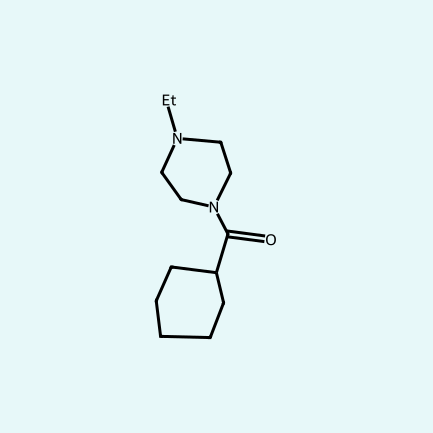 CCN1CCN(C(=O)C2CCCCC2)CC1